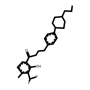 CCCC1CCC(c2ccc(CCCC(=O)c3ccc(C)c(C(F)F)c3O)cc2)CC1